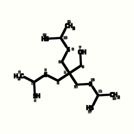 CC(S)SCC(CO)(CSC(C)S)CSC(C)S